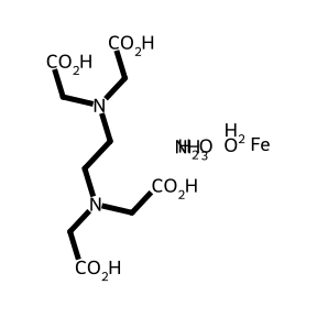 N.O.O.O=C(O)CN(CCN(CC(=O)O)CC(=O)O)CC(=O)O.[Fe]